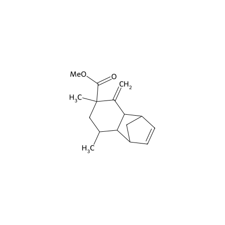 C=C1C2C3C=CC(C3)C2C(C)CC1(C)C(=O)OC